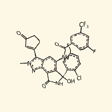 Cn1nc2c3c(c(NC(=O)c4cc(F)cc(C(F)(F)F)c4)cc2c1C1=CC(=O)CC1)C(O)(c1cc(F)ccc1Cl)NC3=O